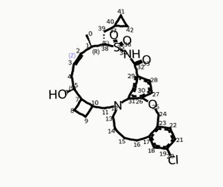 C[C@@H]1/C=C\C[C@H](O)C2CCC2CN2CCCCc3cc(Cl)ccc3COc3ccc(cc32)C(=O)NS(=O)(=O)[C@H]1CC1CC1